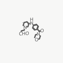 O=CCCN1C[CH]C[C@@H](Nc2ccc(C(=O)N3CCOCC3)cc2)C1